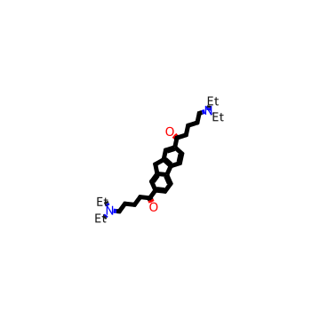 CCN(CC)CCCCC(=O)c1ccc2c(c1)Cc1cc(C(=O)CCCCN(CC)CC)ccc1-2